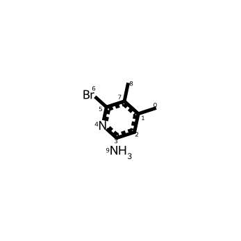 Cc1ccnc(Br)c1C.N